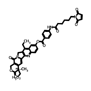 C=C1OCc2c(cc3n(c2=O)Cc2c-3nc3ccc(OC(=O)c4ccc(NC(=O)CCCCCN5C(=O)C=CC5=O)cc4)cc3c2CC)[C@@]1(C)CC